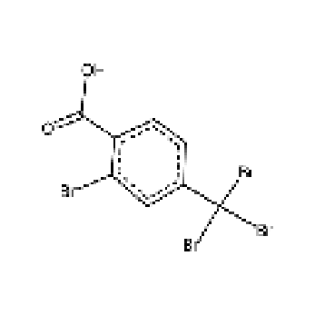 O=C(O)c1ccc(C(Br)(Br)Br)cc1Br